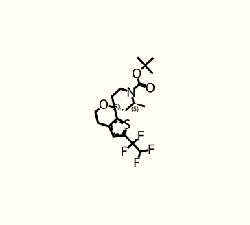 C[C@H]1C[C@@]2(CCN1C(=O)OC(C)(C)C)OCCc1cc(C(F)(F)C(F)F)sc12